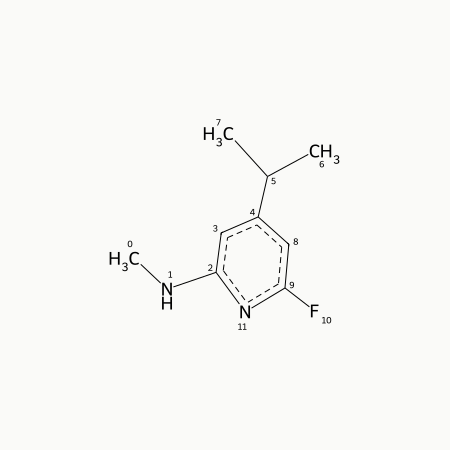 CNc1cc(C(C)C)cc(F)n1